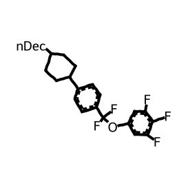 CCCCCCCCCCC1CCC(c2ccc(C(F)(F)Oc3cc(F)c(F)c(F)c3)cc2)CC1